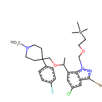 CC(OCC1(c2ccc(F)cc2)CCN(C(=O)O)CC1)c1cc(Cl)cc2c(Br)nn(COCC[Si](C)(C)C)c12